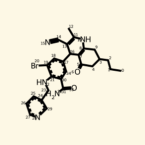 CCCC1CC(=O)C2=C(C1)NC(C)=C(C#N)C2c1cc(Br)c(NCc2cccnc2)c(C(N)=O)c1